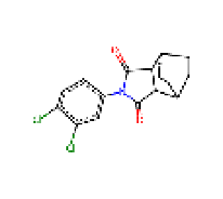 O=C1C2C3CCCC(CC3)C2C(=O)N1c1ccc(Cl)c(Cl)c1